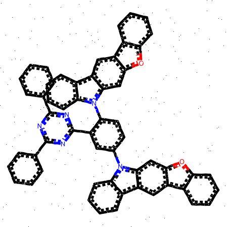 c1ccc(-c2nc(-c3ccccc3)nc(-c3cc(-n4c5ccccc5c5cc6c(cc54)oc4ccccc46)ccc3-n3c4ccccc4c4cc5c(cc43)oc3ccccc35)n2)cc1